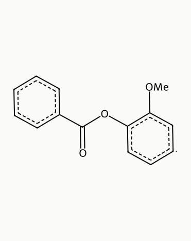 COc1c[c]ccc1OC(=O)c1ccccc1